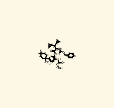 CCOC(=O)C1(c2ccc(NC(=O)OC(C)(C)C)c(NC(=O)C(NC(=O)OCc3ccccc3)C(C3CC3)C3CC3)n2)CCC(F)(F)CC1